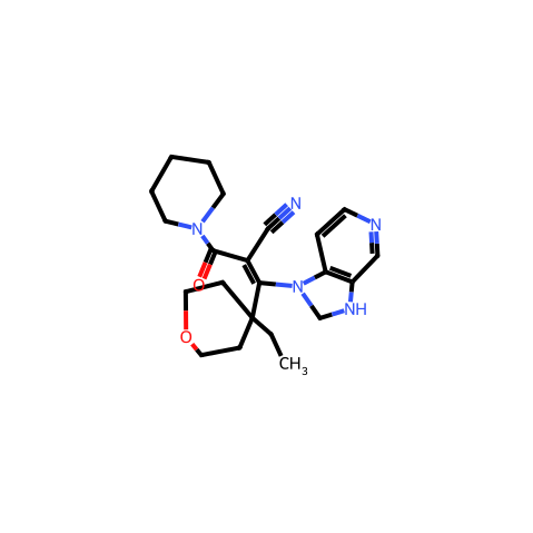 CCC1(C(=C(C#N)C(=O)N2CCCCC2)N2CNc3cnccc32)CCOCC1